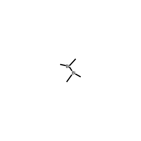 [CH3][Bi]([CH3])[Bi]([CH3])[CH3]